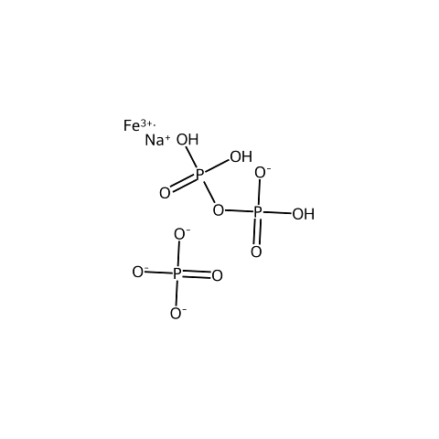 O=P([O-])(O)OP(=O)(O)O.O=P([O-])([O-])[O-].[Fe+3].[Na+]